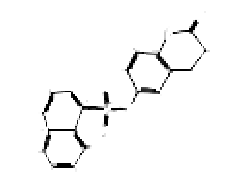 O=C1CCc2cc(OS(=O)(=O)c3cccc4ccccc34)ccc2N1